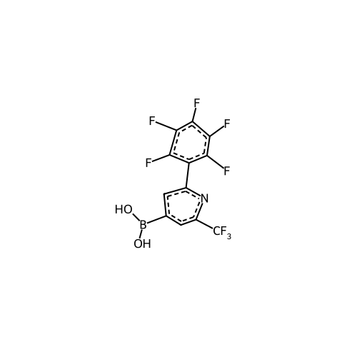 OB(O)c1cc(-c2c(F)c(F)c(F)c(F)c2F)nc(C(F)(F)F)c1